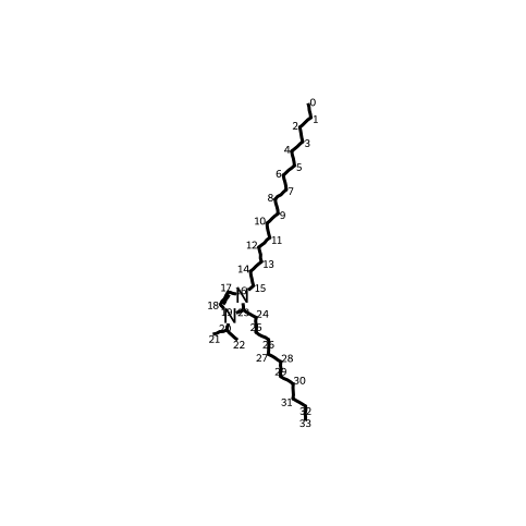 CCCCCCCCCCCCCCCCN1C=CN(C(C)C)C1CCCCCCCCCC